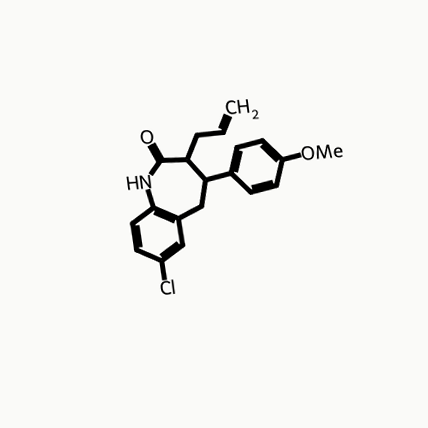 C=CCC1C(=O)Nc2ccc(Cl)cc2CC1c1ccc(OC)cc1